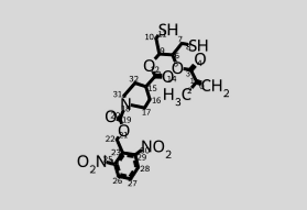 C=C(C)C(=O)OC(CS)C(CS)OC(=O)C1CCN(C(=O)OCc2c([N+](=O)[O-])cccc2[N+](=O)[O-])CC1